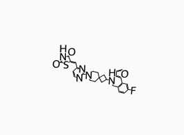 O=C1NC(=O)/C(=C/c2ccnc(N3CCC4(CC3)CC(NCc3ccc(F)cc3-c3ccco3)C4)n2)S1